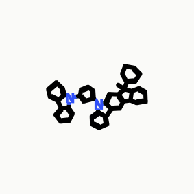 CC1(C2=CC=CCC2)c2cc3c(cc2C2C=CC=CC21)c1ccccc1n3-c1cccc(-n2c3ccccc3c3ccccc32)c1